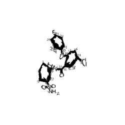 NS(=O)(=O)c1cccc(NC(=O)c2cc(Cl)ccc2Oc2ccc(F)cc2)c1